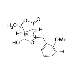 COc1c(I)cccc1CN1OC(O)[C@H]2[C@H](C)OC(=O)[C@H]21